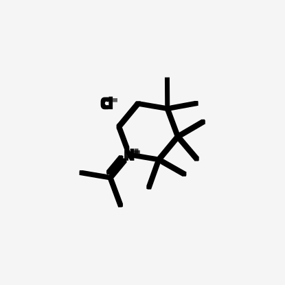 CC(C)=[N+]1CCC(C)(C)C(C)(C)C1(C)C.[Cl-]